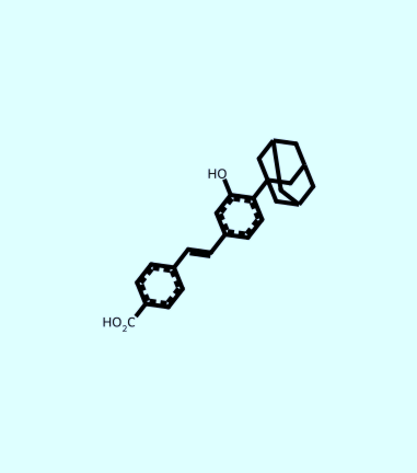 O=C(O)c1ccc(C=Cc2ccc(C34CC5CC(CC(C5)C3)C4)c(O)c2)cc1